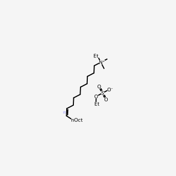 CCCCCCCC/C=C\CCCCCCCC[N+](C)(C)CC.CCOS(=O)(=O)[O-]